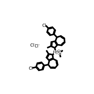 CC1=CC2=C(C=CC=CC2c2ccc(Cl)cc2)[CH]1[Hf+2]([CH]1C(C)=CC2=C1C=CC=CC2c1ccc(Cl)cc1)=[Si](C)C.[Cl-].[Cl-]